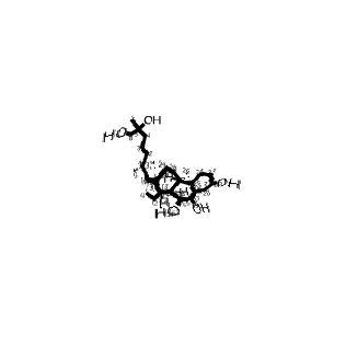 C[C@H](CCCC(C)(O)CO)[C@H]1CC[C@H]2[C@@H]3C(O)C(O)C4CC(O)CC[C@]4(C)[C@H]3CC[C@]12C